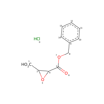 Cl.O=C(O)C1OC1C(=O)OCc1ccccc1